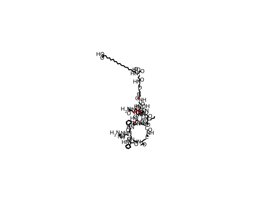 CCCC[C@H](NC(=O)[C@H](CN)NC(=O)[C@H](Cc1c[nH]cn1)NC(=O)[C@H](CCC(N)=O)NC(=O)[C@H](CO)NC(=O)CNC(=O)COCCOCCNC(=O)CC[C@H](NC(=O)CCCCCCCCCCCCCCCCC(=O)O)C(=O)O)C(=O)N[C@H]1CCC(=O)NCCCC[C@@H](C(C)=O)NC(=O)[C@H](Cc2c[nH]c3ccccc23)NC(=O)[C@H](CCCNC(=N)N)NC(=O)[C@@H](Cc2ccccc2)NC(=O)[C@@H]2C[C@@H](O)CN2C1=O